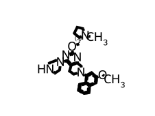 COc1cc(N2CCc3c(nc(OC[C@@H]4CCCN4C)nc3N3CCNCC3)C2)c2ccccc2c1